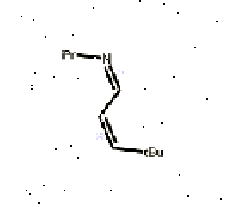 CC(C)/N=C\C=C/C(C)(C)C